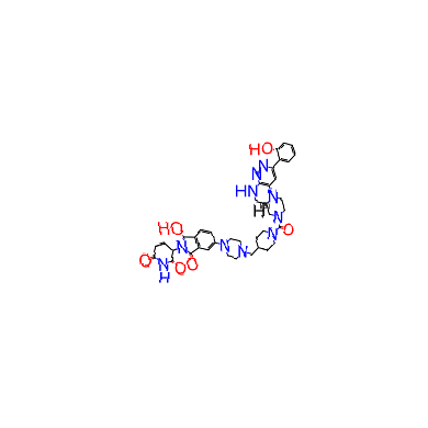 O=C1CCC(N2C(=O)c3cc(N4CCN(CC5CCN(C(=O)N6CCN7c8cc(-c9ccccc9O)nnc8NC[C@H]7C6)CC5)CC4)ccc3C2O)C(=O)N1